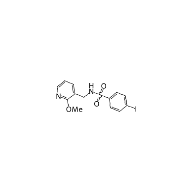 COc1ncccc1CNS(=O)(=O)c1ccc(I)cc1